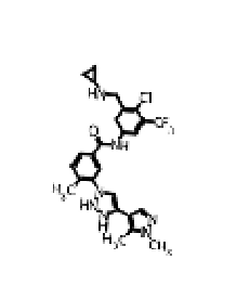 Cc1ccc(C(=O)NC2C=C(C(F)(F)F)C(Cl)=C(CNC3CC3)C2)cc1N1C=C(c2cnn(C)c2C)NN1